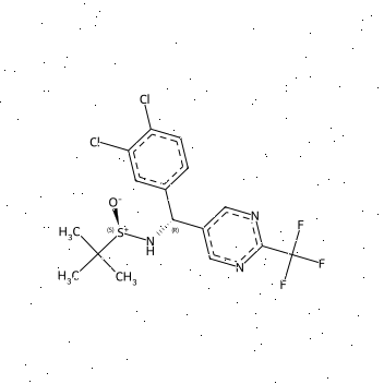 CC(C)(C)[S@@+]([O-])N[C@@H](c1cnc(C(F)(F)F)nc1)c1ccc(Cl)c(Cl)c1